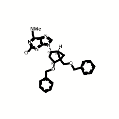 CNc1nc(Cl)nc2c1ncn2[C@H]1C[C@H](OCc2ccccc2)C2(COCc3ccccc3)C[C@H]12